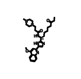 CCC(=O)CCCCC[C@H](NC(=O)CCN1CCN(C)CC1)c1ncc(-c2cc(OC)c3ccccc3n2)[nH]1